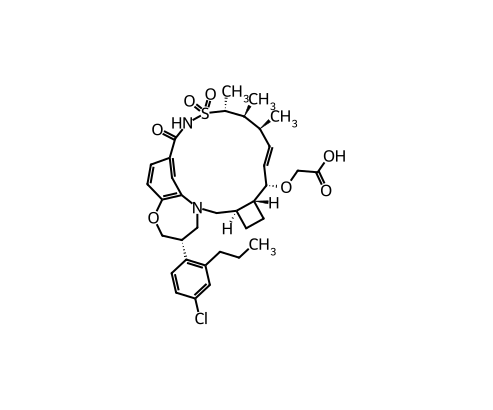 CCCc1cc(Cl)ccc1[C@@H]1COc2ccc3cc2N(C1)C[C@@H]1CC[C@H]1[C@@H](OCC(=O)O)/C=C/[C@H](C)[C@H](C)[C@@H](C)S(=O)(=O)NC3=O